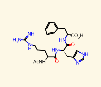 CC(=O)N[C@@H](CCCNC(=N)N)C(=O)N[C@@H](Cc1c[nH]cn1)C(=O)N[C@@H](Cc1ccccc1)C(=O)O